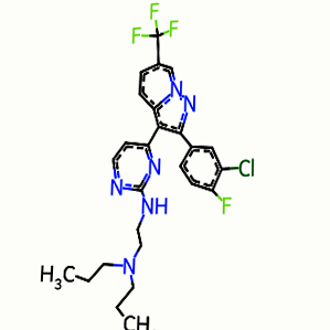 CCCN(CCC)CCNc1nccc(-c2c(-c3ccc(F)c(Cl)c3)nn3cc(C(F)(F)F)ccc23)n1